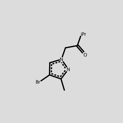 Cc1nn(CC(=O)C(C)C)cc1Br